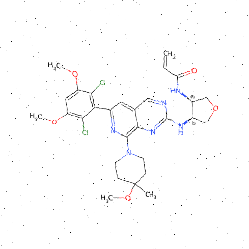 C=CC(=O)N[C@H]1COC[C@H]1Nc1ncc2cc(-c3c(Cl)c(OC)cc(OC)c3Cl)nc(N3CCC(C)(OC)CC3)c2n1